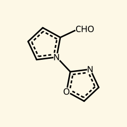 O=Cc1cccn1-c1ncco1